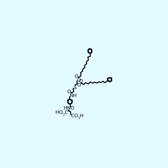 O=C(O)CCC(NC(=O)c1ccc(CNC(=O)CCSCC(COC(=O)CCCCCCCCCCCc2ccccc2)OC(=O)CCCCCCCCCCCc2ccccc2)cc1)C(=O)O